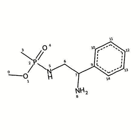 COP(C)(=O)NCC(N)c1ccccc1